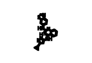 c1ccc2c(Nc3cc(C4CC4)n[nH]3)nc(Nc3ccc4ncsc4c3)nc2c1